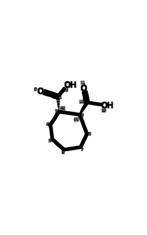 O=C(O)[C@H]1CCCCC[C@@H]1C(=O)O